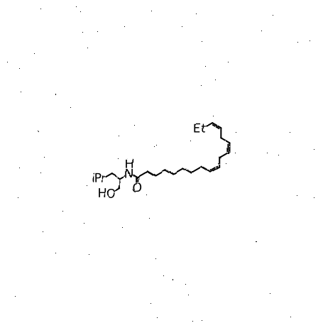 CC/C=C\C/C=C\C/C=C\CCCCCCCC(=O)N[C@@H](CO)CC(C)C